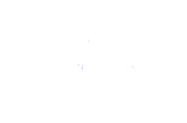 Clc1ccc2c3cc(Br)ccc3n(C3CC=CCC3)c2c1